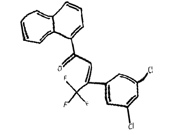 O=C(C=C(c1cc(Cl)cc(Cl)c1)C(F)(F)F)c1cccc2ccccc12